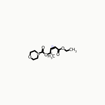 CCOC(=O)/C=C\[C@H](C)OC(=O)N1CCOCC1